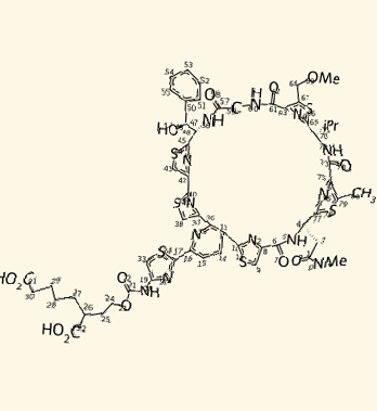 CNC(=O)C[C@@H]1NC(=O)c2csc(n2)-c2ccc(-c3nc(NC(=O)OCCC(CCCCC(=O)O)C(=O)O)cs3)nc2-c2csc(n2)-c2csc(n2)[C@H]([C@@H](O)c2ccccc2)NC(=O)CNC(=O)c2nc(sc2COC)[C@H](C(C)C)NC(=O)c2nc1sc2C